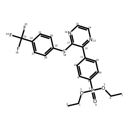 CCOP(=O)(OCC)c1ccc(-c2nccnc2Sc2ccc(C(F)(F)F)cc2)cc1